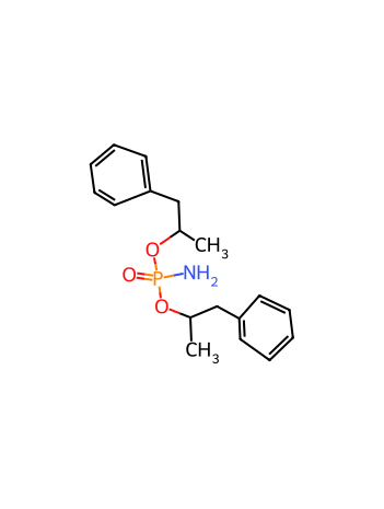 CC(Cc1ccccc1)OP(N)(=O)OC(C)Cc1ccccc1